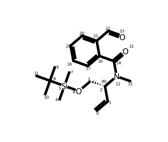 C=C[C@H](CO[Si](C)(C)C(C)(C)C)N(C)C(=O)c1ccccc1C=O